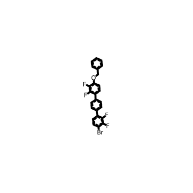 Fc1c(Br)ccc(-c2ccc(-c3ccc(OCc4ccccc4)c(F)c3F)cc2)c1F